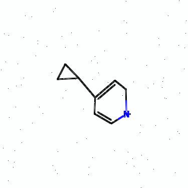 C1=CC(C2CC2)=CC[N]1